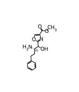 COC(=O)c1coc(C(O)[C@@H](N)CCc2ccccc2)n1